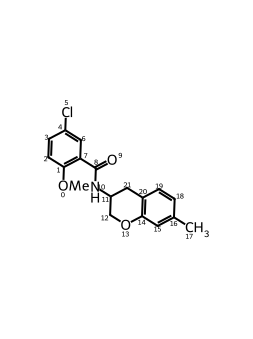 COc1ccc(Cl)cc1C(=O)NC1COc2cc(C)ccc2C1